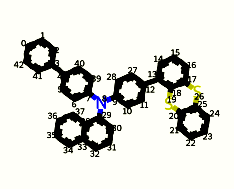 c1ccc(-c2ccc(N(c3ccc(-c4cccc5c4Sc4ccccc4S5)cc3)c3cccc4ccccc34)cc2)cc1